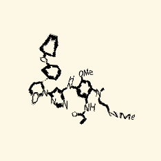 C=CC(=O)Nc1cc(Nc2cc(N3OCC[C@@H]3c3cccc(Oc4ccccc4)c3)ncn2)c(OC)cc1N(C)CCNC